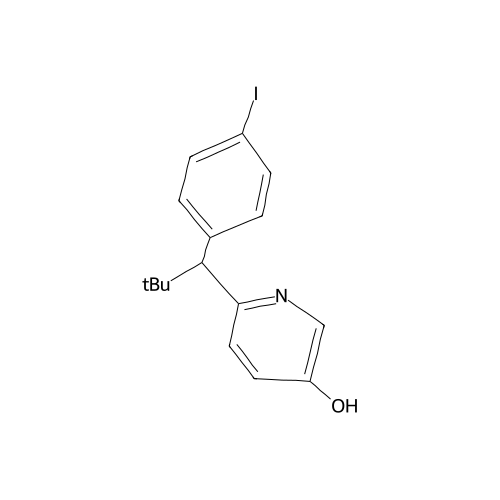 CC(C)(C)C(c1ccc(I)cc1)c1ccc(O)cn1